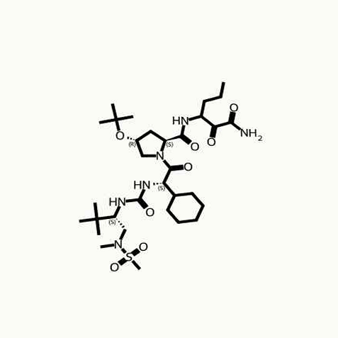 CCCC(NC(=O)[C@@H]1C[C@@H](OC(C)(C)C)CN1C(=O)[C@@H](NC(=O)N[C@H](CN(C)S(C)(=O)=O)C(C)(C)C)C1CCCCC1)C(=O)C(N)=O